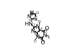 Cn1c(=O)c2c(nc(Nc3nncs3)n2C)n(C)c1=O